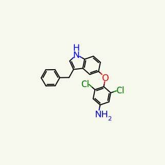 Nc1cc(Cl)c(Oc2ccc3[nH]cc(Cc4ccccc4)c3c2)c(Cl)c1